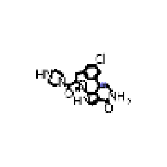 C=Nc1[nH]cc(C(N)=O)c1/C(=C\C)c1cc(Cl)cc2c1OC(C(=O)N1CCNCC1)C2